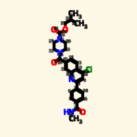 CNC(=O)c1ccc(-c2cc(Cl)c3ccc(C(=O)N4CCN(C(=O)OCC(C)C)CC4)cc3n2)cc1